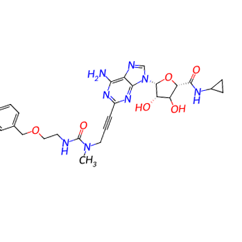 CN(CC#Cc1nc(N)c2ncn([C@@H]3O[C@H](C(=O)NC4CC4)C(O)[C@@H]3O)c2n1)C(=O)NCCOCc1ccccc1